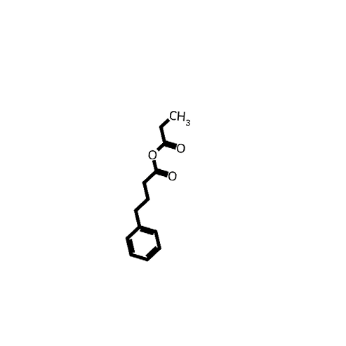 CCC(=O)OC(=O)CCCc1ccccc1